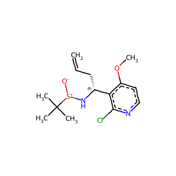 C=CC[C@@H](N[S+]([O-])C(C)(C)C)c1c(OC)ccnc1Cl